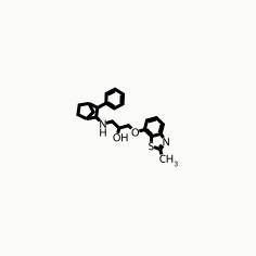 Cc1nc2cccc(OCC(O)CNC3C4CCC(C4)C3c3ccccc3)c2s1